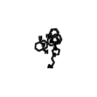 CC(=O)CCN1CC[C@H](c2nc3ccccc3n2[C@H]2C[C@H]3CCC[C@@H](C2)N3[C@@H]2C[C@@H]3CCCC[C@@H](C3)C2)C1